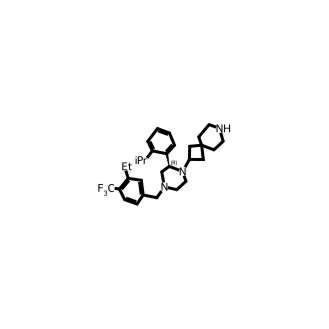 CCc1cc(CN2CCN(C3CC4(CCNCC4)C3)[C@H](c3ccccc3C(C)C)C2)ccc1C(F)(F)F